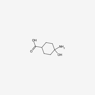 NC1(O)CCC(C(=O)O)CC1